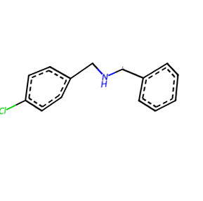 Clc1ccc(CN[CH]c2ccccc2)cc1